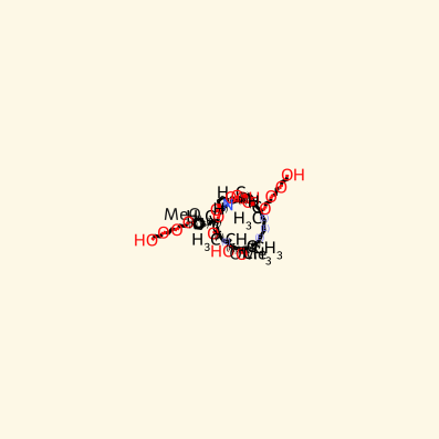 CO[C@@H]1C[C@H](C[C@@H](C)[C@@H]2CC(=O)[C@H](C)/C=C(\C)[C@@H](O)[C@@H](OC)C(=O)[C@H](C)C[C@H](C)/C=C/C=C/C=C(\C)C(OCCOCCOCCO)C[C@@H]3CC[C@@H](C)[C@@](O)(O3)C(=O)C(=O)N3CCCC[C@H]3C(=O)O2)CC[C@H]1OCCOCCOCCO